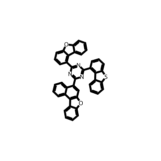 c1ccc2c(c1)oc1cccc(-c3nc(-c4cc5oc6ccccc6c5c5ccccc45)nc(-c4cccc5sc6ccccc6c45)n3)c12